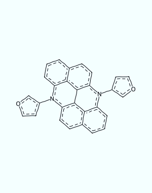 c1cc2ccc3c4c2c(c1)n(-c1ccoc1)c1ccc2cccc(c2c1-4)n3-c1ccoc1